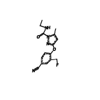 CCNC(=O)n1nc(Oc2ccc(C#N)cc2CF)cc1C